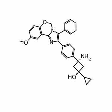 COc1ccc2c(c1)-c1nc(-c3ccc([C@]4(N)C[C@@](O)(C5CC5)C4)cc3)c(-c3ccccc3)n1CO2